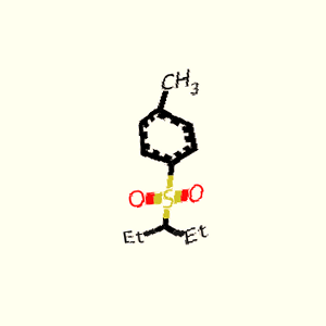 CCC(CC)S(=O)(=O)c1ccc(C)cc1